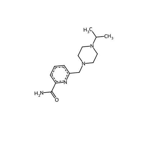 CC(C)N1CCN(Cc2cccc(C(N)=O)n2)CC1